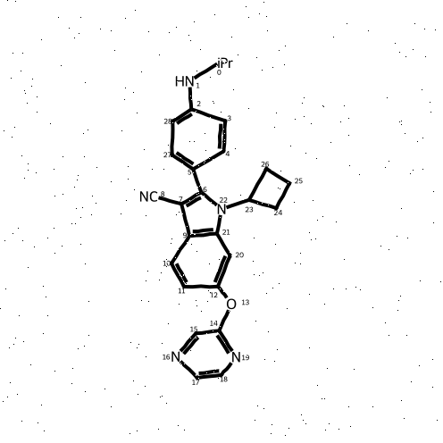 CC(C)Nc1ccc(-c2c(C#N)c3ccc(Oc4cnccn4)cc3n2C2CCC2)cc1